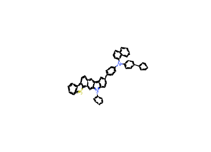 c1ccc(-c2ccc(N(c3ccc(-c4ccc5c(c4)c4cc6ccc7c8ccccc8sc7c6cc4n5-c4ccccc4)cc3)c3cccc4ccccc34)cc2)cc1